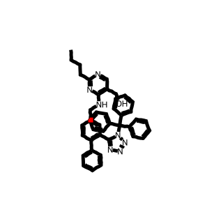 CCCCc1ncc(CO)c(NCc2ccc(-c3ccccc3)c(-c3nnnn3C(c3ccccc3)(c3ccccc3)c3ccccc3)c2)n1